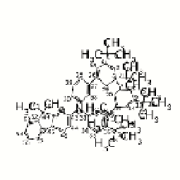 CC(C)(C)C1=CC(c2cc(C(C)(C)C)cc(C(C)(C)C)c2)(C(C)(C)C)CC(c2cccc(N(c3ccc(C(C)(C)C)cc3)c3ccc4c(c3)C(C)(C)c3ccccc3-4)c2)=C1